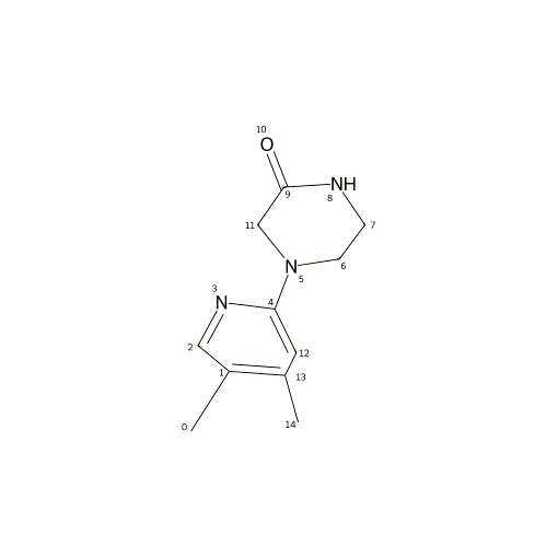 Cc1cnc(N2CCNC(=O)C2)cc1C